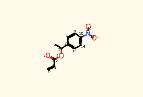 C=CC(=O)OC(C)c1ccc([N+](=O)[O-])cc1